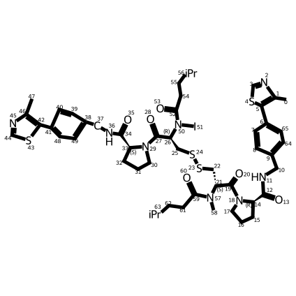 Cc1ncsc1-c1ccc(CNC(=O)[C@H]2CCCN2C(=O)[C@@H](CSSC[C@@H](C(=O)N2CCC[C@H]2C(=O)NCc2ccc(-c3scnc3C)cc2)N(I)C(=O)CCC(C)C)N(C)C(=O)CCC(C)C)cc1